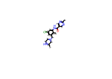 Cc1ncc(C(=O)Nc2cc(Cl)cc(CN3CCNC(C)C3)c2C)cn1